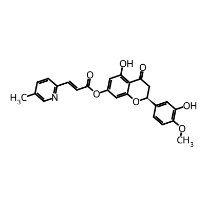 COc1ccc([C@@H]2CC(=O)c3c(O)cc(OC(=O)/C=C/c4ccc(C)cn4)cc3O2)cc1O